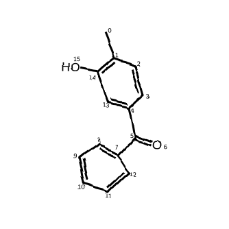 Cc1ccc(C(=O)c2ccccc2)cc1O